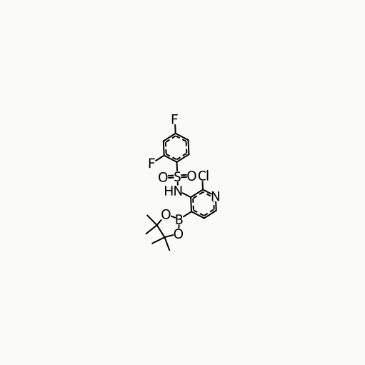 CC1(C)OB(c2ccnc(Cl)c2NS(=O)(=O)c2ccc(F)cc2F)OC1(C)C